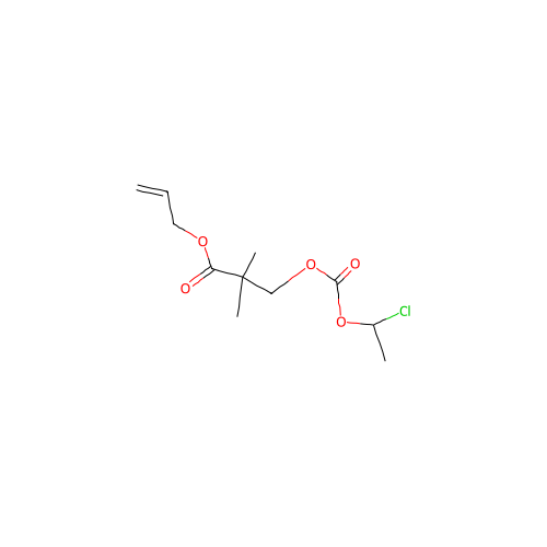 C=CCOC(=O)C(C)(C)COC(=O)OC(C)Cl